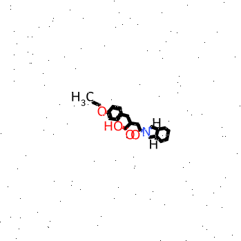 CCCOc1ccc(CC(CC(=O)N2C[C@H]3CCCC[C@H]3C2)C(=O)O)cc1